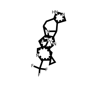 O=S(=O)(c1ccc(C(F)(F)F)nc1)N1C2Cc3[nH]ncc3C1c1nc(C3CC3)ccc12